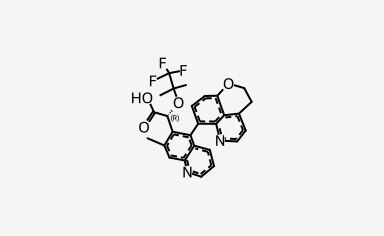 Cc1cc2ncccc2c(-c2ccc3c4c(ccnc24)CCO3)c1[C@@H](OC(C)(C)C(F)(F)F)C(=O)O